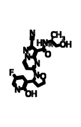 C[C@H](CO)NC(=O)c1c(C#N)nn2ccc(N3OCCC3c3cc(F)cnc3O)nc12